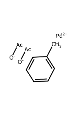 CC(=O)[O-].CC(=O)[O-].Cc1ccccc1.[Pd+2]